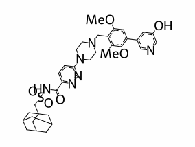 COc1cc(-c2cncc(O)c2)cc(OC)c1CN1CCN(c2ccc(C(=O)NS(=O)(=O)CC34CC5CC(CC(C5)C3)C4)nn2)CC1